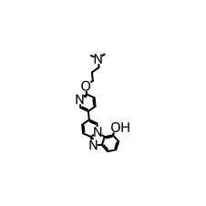 CN(C)CCCOc1ccc(-c2ccc3nc4cccc(O)c4n3c2)cn1